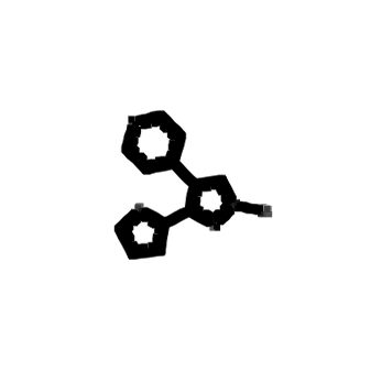 CCn1cc(-c2ccncc2)c(-c2cccs2)n1